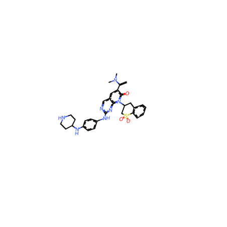 C=C(c1cc2cnc(Nc3ccc(NC4CCNCC4)cc3)nc2n(C2Cc3ccccc3S(=O)(=O)C2)c1=O)N(C)C